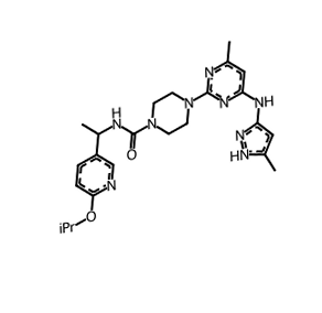 Cc1cc(Nc2cc(C)[nH]n2)nc(N2CCN(C(=O)NC(C)c3ccc(OC(C)C)nc3)CC2)n1